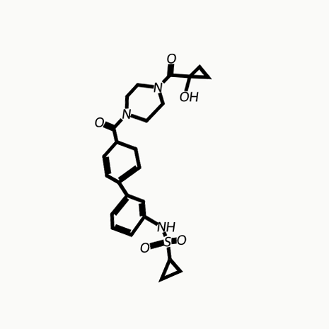 O=C(C1C=CC(c2cccc(NS(=O)(=O)C3CC3)c2)=CC1)N1CCN(C(=O)C2(O)CC2)CC1